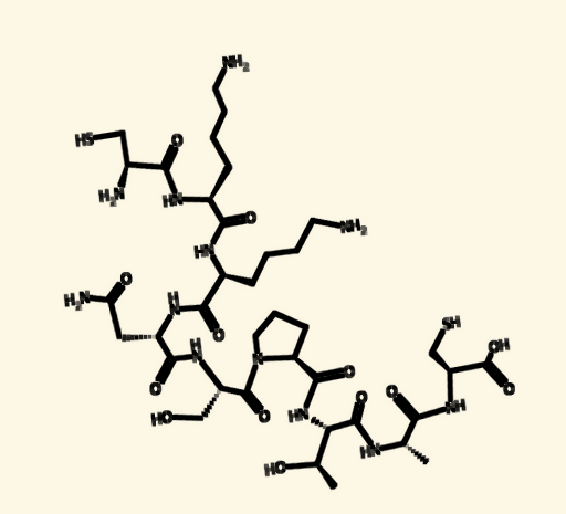 C[C@H](NC(=O)[C@@H](NC(=O)[C@@H]1CCCN1C(=O)[C@H](CO)NC(=O)[C@H](CC(N)=O)NC(=O)[C@H](CCCCN)NC(=O)[C@H](CCCCN)NC(=O)[C@@H](N)CS)[C@@H](C)O)C(=O)N[C@@H](CS)C(=O)O